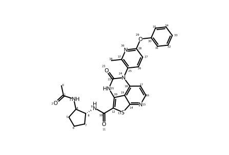 CC(=O)NC1CCC[C@H]1NC(=O)c1sc2nccc3c2c1NC(=O)N3c1ccc(Oc2ccccc2)nc1C